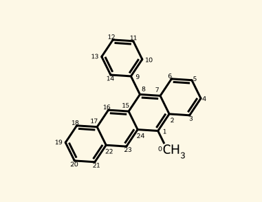 Cc1c2ccccc2c(-c2ccccc2)c2cc3ccccc3cc12